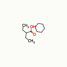 C1CCCCC1.CCC(CC)C(=O)O